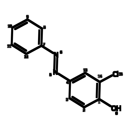 Oc1ccc(N=Nc2ccccc2)cc1Cl